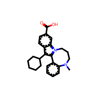 CN1CCCn2c(c(C3CCCCC3)c3ccc(C(=O)O)cc32)-c2ccccc21